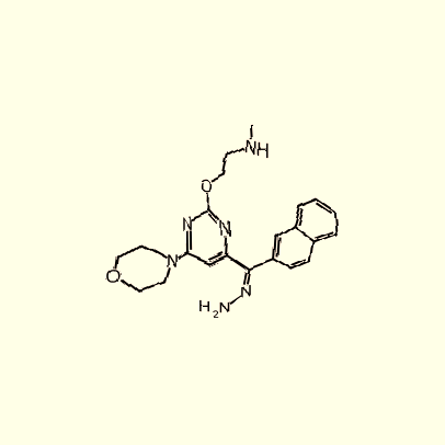 CNCCOc1nc(C(=NN)c2ccc3ccccc3c2)cc(N2CCOCC2)n1